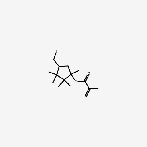 C=C(C)C(=O)OC1(C)CC(CI)C(C)(C)C1(C)C